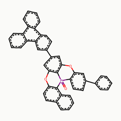 O=P12c3ccc(-c4ccccc4)cc3Oc3cc(-c4ccc5c6ccccc6c6ccccc6c5c4)cc(c31)Oc1ccc3ccccc3c12